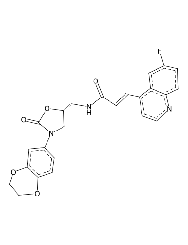 O=C(/C=C/c1ccnc2ccc(F)cc12)NC[C@@H]1CN(c2ccc3c(c2)OCCO3)C(=O)O1